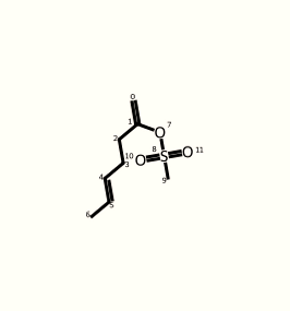 C=C(CCC=CC)OS(C)(=O)=O